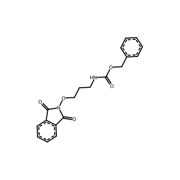 O=C(NCCCON1C(=O)c2ccccc2C1=O)OCc1ccccc1